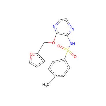 Cc1ccc(S(=O)(=O)Nc2nccnc2OCc2ccco2)cc1